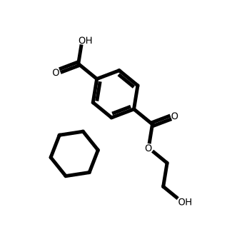 C1CCCCC1.O=C(O)c1ccc(C(=O)OCCO)cc1